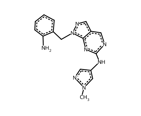 Cn1cc(Nc2ncc3cnn(Cc4ccccc4N)c3n2)cn1